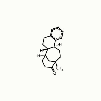 C[C@@]12CC[C@@H]3c4cc[c]cc4CC[C@H]3[C@H](CCC1=O)C2